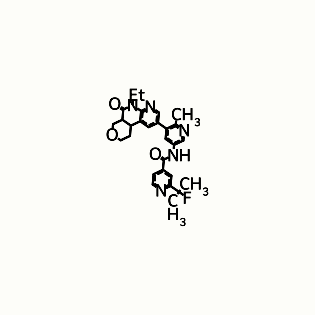 CCN1C(=O)C2COCCC2c2cc(-c3cc(NC(=O)c4ccnc(C(C)(C)F)c4)cnc3C)cnc21